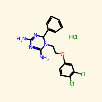 Cl.NC1=NC(c2ccccc2)N(CCOc2ccc(Cl)c(Cl)c2)C(N)=N1